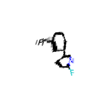 CC(C)c1cccc(-c2ccc(F)nc2)c1